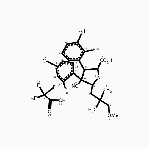 COCC(C)(C)CC1NC(C(=O)O)C(c2cccc(Cl)c2F)C1(C#N)c1ccc(Cl)cc1F.O=C(O)C(F)(F)F